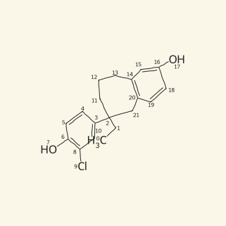 CCC1(c2ccc(O)c(Cl)c2)CCCc2cc(O)ccc2C1